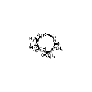 CC(C)N[C@]1(C)CN(C)C(=O)OCC=CCOC(=O)N(C)CC[C@](C)(C(=O)C(C)C)NCC1=O